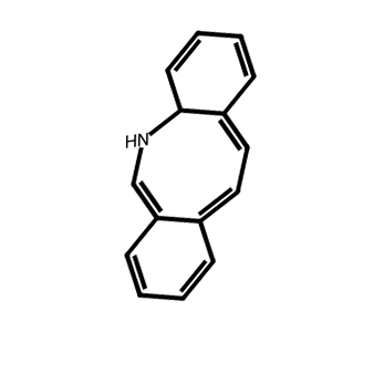 C1=C/C2=C/C=c3/cccc/c3=C/NC2C=C1